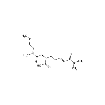 COCCN(C)C(=O)C[C@@H](CC/C=C/C(=O)N(C)C)C(=O)O